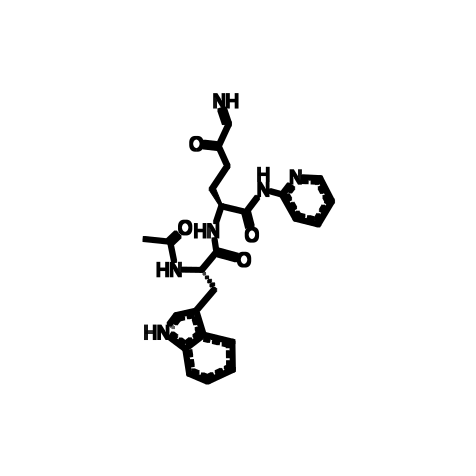 CC(=O)N[C@@H](Cc1c[nH]c2ccccc12)C(=O)N[C@@H](CCC(=O)C=N)C(=O)Nc1ccccn1